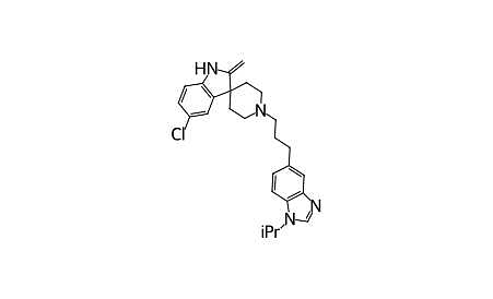 C=C1Nc2ccc(Cl)cc2C12CCN(CCCc1ccc3c(c1)ncn3C(C)C)CC2